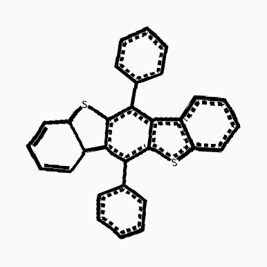 C1=CC2Sc3c(c(-c4ccccc4)c4sc5ccccc5c4c3-c3ccccc3)C2C=C1